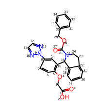 O=C(O)COc1ccc(-n2nccn2)cc1C1c2ccccc2CCN1C(=O)OCc1ccccc1